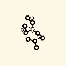 c1ccc(-c2cc(-c3ccccc3)cc(-n3c4ccccc4c4ccc(-c5nc(-c6ccc7oc8ccccc8c7c6)nc(-c6cccc7oc8ccccc8c67)n5)cc43)c2)cc1